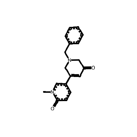 Cn1cc(C2=CC(=O)CN(Cc3ccccc3)C2)ccc1=O